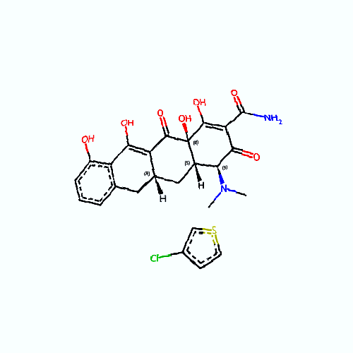 CN(C)[C@@H]1C(=O)C(C(N)=O)=C(O)[C@@]2(O)C(=O)C3=C(O)c4c(O)cccc4C[C@H]3C[C@@H]12.Clc1ccsc1